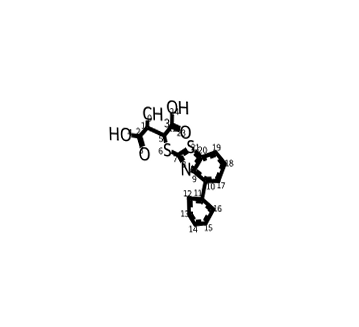 CC(C(=O)O)C(Sc1nc2c(-c3ccccc3)cccc2s1)C(=O)O